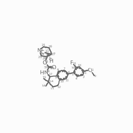 COc1ccc(-c2ccc3c(c2)CCC(C)(C)C3NC(=O)O[C@H]2CN3CCC2CC3)c(F)c1